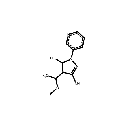 N#CC1=NN(c2cccnc2)C(O)C1C(OI)C(F)(F)F